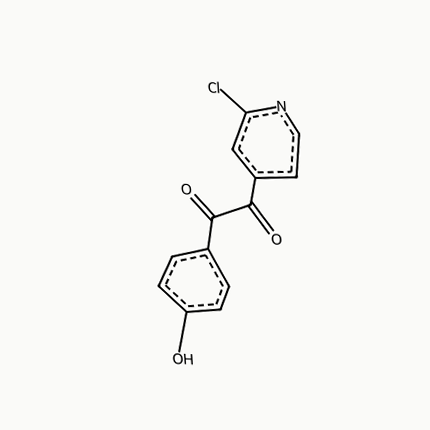 O=C(C(=O)c1ccnc(Cl)c1)c1ccc(O)cc1